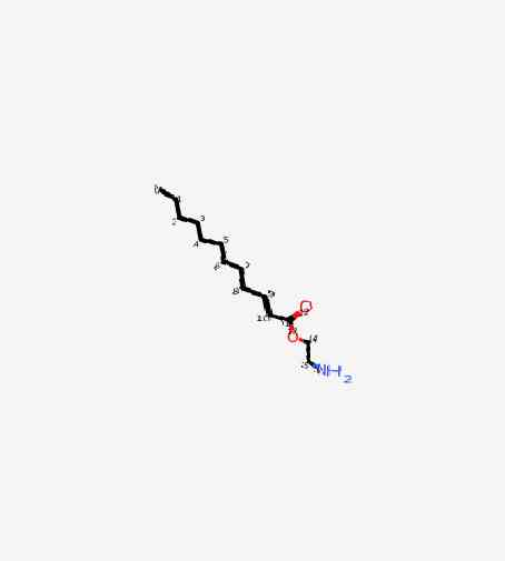 CCCCCCCCCCCC(=O)OCCN